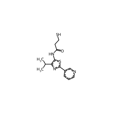 CC(C)c1nc(-c2cccnc2)sc1NC(=O)CCS